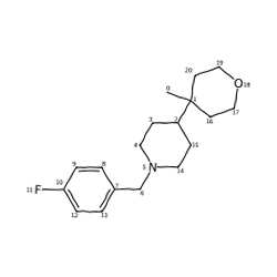 CC1(C2CCN(Cc3ccc(F)cc3)CC2)CCOCC1